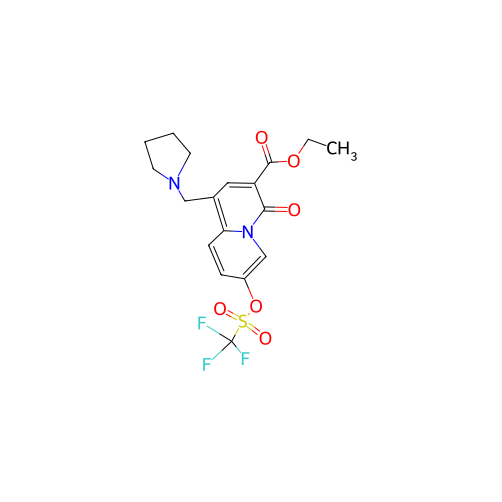 CCOC(=O)c1cc(CN2CCCC2)c2ccc(OS(=O)(=O)C(F)(F)F)cn2c1=O